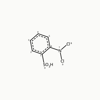 O=S(=O)(O)c1ccccc1N(Cl)Cl